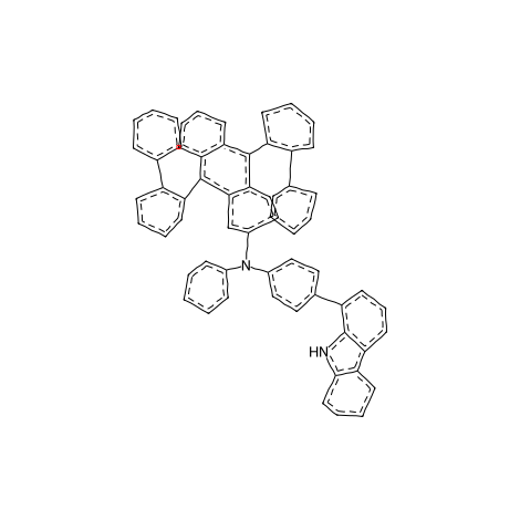 c1ccc(-c2ccccc2-c2c3ccccc3c(-c3ccccc3-c3ccccc3)c3cc(N(c4ccccc4)c4ccc(-c5cccc6c5[nH]c5ccccc56)cc4)ccc23)cc1